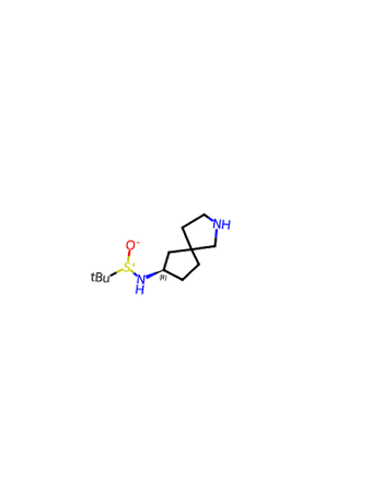 CC(C)(C)[S+]([O-])N[C@@H]1CCC2(CCNC2)C1